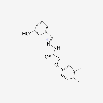 Cc1ccc(OCC(=O)N/N=C/c2cccc(O)c2)cc1C